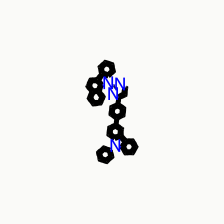 c1ccc(-n2c3ccccc3c3cc(-c4ccc(-c5ccnc(-n6c7ccccc7c7ccc8ccccc8c76)n5)cc4)ccc32)cc1